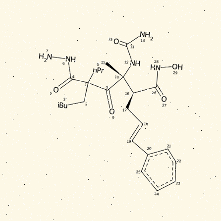 CCCC(CC(C)CC)(C(=O)NN)C(=O)[C@](C)(NC(N)=O)[C@H](C/C=C/c1ccccc1)C(=O)NO